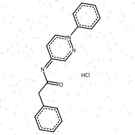 Cl.O=C(Cc1ccccc1)/N=c1/ccn(-c2ccccc2)nc1